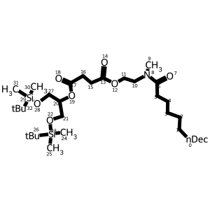 CCCCCCCCCCCCCCCC(=O)N(C)CCOC(=O)CCC(=O)OC(CO[Si](C)(C)C(C)(C)C)CO[Si](C)(C)C(C)(C)C